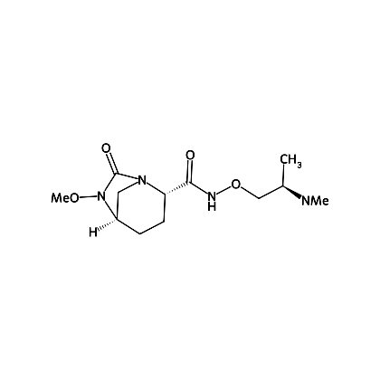 CN[C@H](C)CONC(=O)[C@@H]1CC[C@@H]2CN1C(=O)N2OC